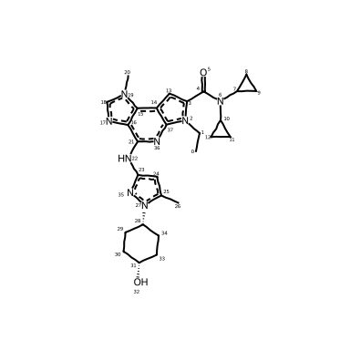 CCn1c(C(=O)N(C2CC2)C2CC2)cc2c3c(ncn3C)c(Nc3cc(C)n([C@H]4CC[C@@H](O)CC4)n3)nc21